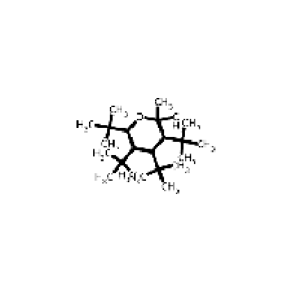 CC(C)(C)C1OC(C)(C)C(C(C)(C)C)C(C(C)(C)C)C1C(C)(C)C